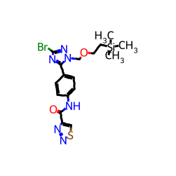 C[Si](C)(C)CCOCn1nc(Br)nc1-c1ccc(NC(=O)c2csnn2)cc1